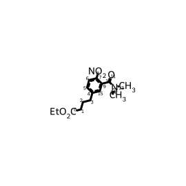 CCOC(=O)CCCc1ccc([N+](=O)[O-])c(C(=O)N(C)C)c1